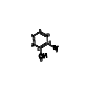 Oc1[c]cc[c]c1Br